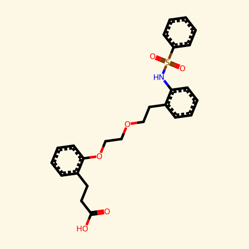 O=C(O)CCc1ccccc1OCCOCCc1ccccc1NS(=O)(=O)c1ccccc1